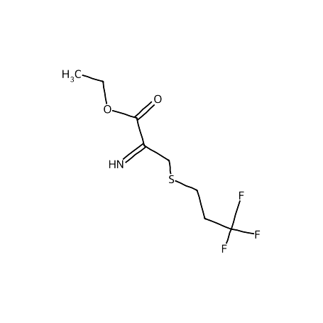 CCOC(=O)C(=N)CSCCC(F)(F)F